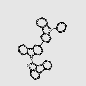 c1ccc(-n2c3ccccc3c3cc(-c4ccc5c(c4)c4ccccc4n5-c4nc5cccc6c7ccccc7c4n56)ccc32)cc1